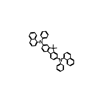 CC1(C)c2cc(N(c3ccccc3)c3cccc4ccccc34)ccc2-c2ccc(N(c3ccccc3)c3cccc4ccccc34)cc21